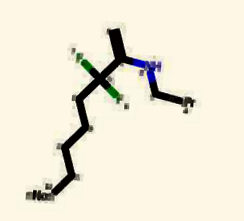 C=C(NCC(C)C)C(F)(F)CCCCCCCCCCCCC